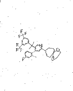 Cc1cc(F)ccc1-c1cc(C2=CCC3(CC2)OCCO3)ncc1C(C)(C)c1cc(C(F)(F)F)cc(C(F)(F)F)c1